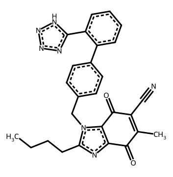 CCCCc1nc2c(n1Cc1ccc(-c3ccccc3-c3nnn[nH]3)cc1)C(=O)C(C#N)=C(C)C2=O